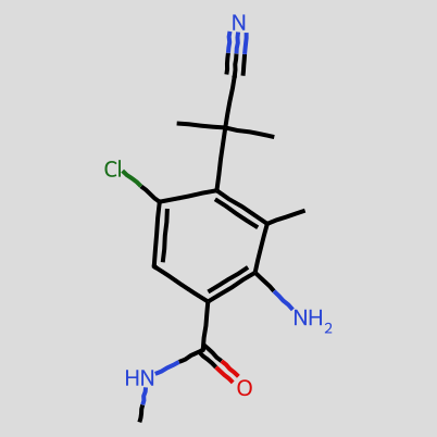 CNC(=O)c1cc(Cl)c(C(C)(C)C#N)c(C)c1N